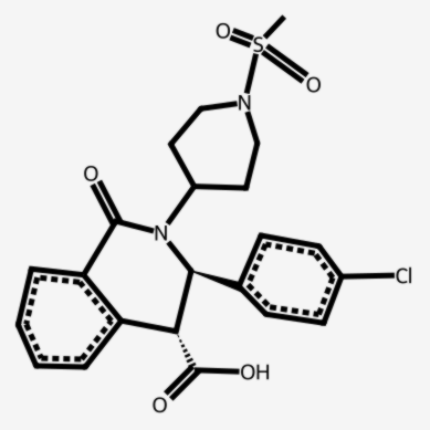 CS(=O)(=O)N1CCC(N2C(=O)c3ccccc3[C@@H](C(=O)O)[C@@H]2c2ccc(Cl)cc2)CC1